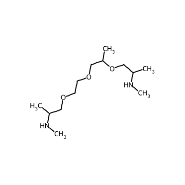 CNC(C)COCCOCC(C)OCC(C)NC